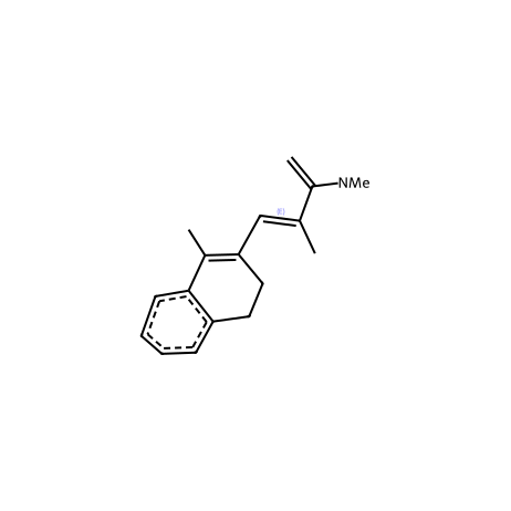 C=C(NC)/C(C)=C/C1=C(C)c2ccccc2CC1